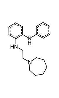 c1ccc(Nc2ccccc2NCCN2CCCCCC2)cc1